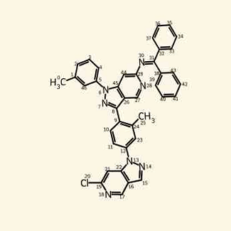 Cc1cccc(-n2nc(-c3ccc(-n4ncc5cnc(Cl)cc54)cc3C)c3cnc(N=C(c4ccccc4)c4ccccc4)cc32)c1